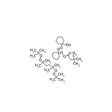 CC(C)(C)CC(=O)OOC1(OOC2(O)CCCCC2)CCCCC1.CC(C)(C)OOC(C)(C)CCC(C)(C)OOC(C)(C)C